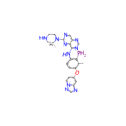 Cc1c(Oc2ccn3ncnc3c2)ccc(Nc2ncnc3cnc(N4CCNC[C@H]4C)nc23)c1P